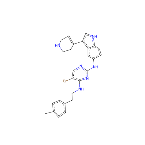 Cc1ccc(CCNc2nc(Nc3ccc4[nH]cc(C5=CCNCC5)c4c3)ncc2Br)cc1